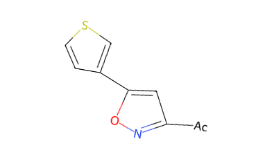 CC(=O)c1cc(-c2ccsc2)on1